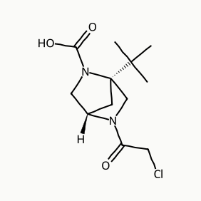 CC(C)(C)[C@]12C[C@@H](CN1C(=O)O)N(C(=O)CCl)C2